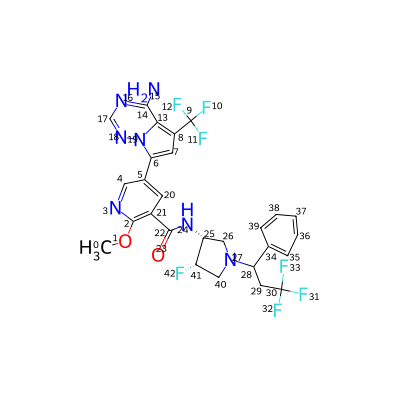 COc1ncc(-c2cc(C(F)(F)F)c3c(N)ncnn23)cc1C(=O)N[C@@H]1CN(C(CC(F)(F)F)c2ccccc2)C[C@@H]1F